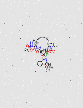 [2H]C([2H])([2H])Oc1cnc(O[C@]2(C)C[C@H]3C(=O)N[C@]4(C(=O)NS(=O)(=O)C5(C)CC5)C[C@H]4/C=C\CC[C@H](C)C[C@@H](C)[C@H](N(C(=O)O)C(C)CC)C(=O)N3C2(F)F)c2ccccc12